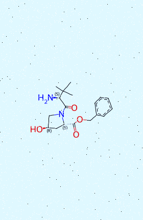 CC(C)(C)[C@H](N)C(=O)N1C[C@H](O)C[C@H]1C(=O)OCc1ccccc1